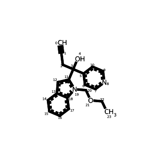 C#CCC(O)(c1ccncc1)c1cc2ccccc2n1COCC